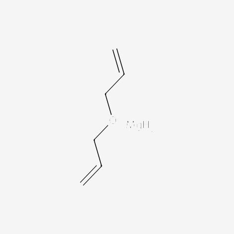 C=CCOCC=C.[MgH2]